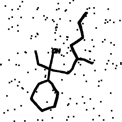 CCCCC(C)CC(O)(CC)C1CCCCC1